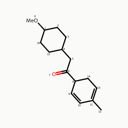 COC1CCC(CC(=O)C2C=CC(C)=CC2)CC1